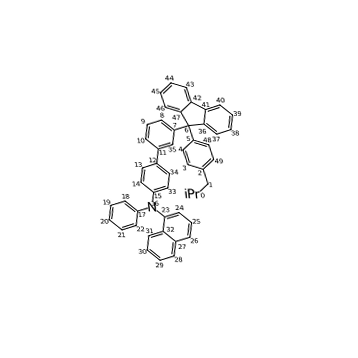 CC(C)Cc1ccc(C2(c3cccc(-c4ccc(N(c5ccccc5)c5cccc6ccccc56)cc4)c3)c3ccccc3-c3ccccc32)cc1